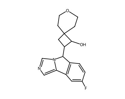 OC1C(C2c3ccc(F)cc3-c3cncn32)CC12CCOCC2